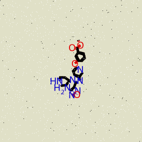 COC(=O)c1cccc(Oc2cc3c(cn2)nc(-c2nonc2N)n3C2CCNCC2)c1